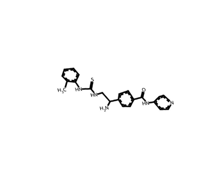 Cc1ccccc1NC(=S)NCC(N)c1ccc(C(=O)Nc2ccncc2)cc1